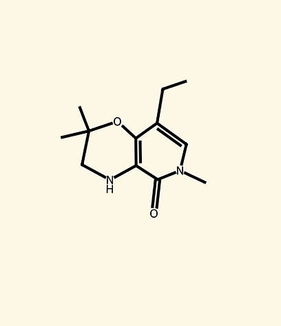 CCc1cn(C)c(=O)c2c1OC(C)(C)CN2